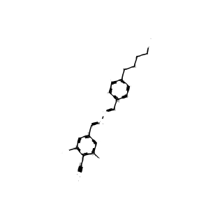 CCCCCc1ccc(C=NN=Cc2cc(F)c(C#N)c(F)c2)cc1